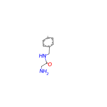 NCC(=O)NCc1cc[c]cc1